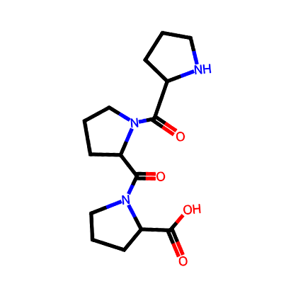 O=C(O)C1CCCN1C(=O)C1CCCN1C(=O)C1CCCN1